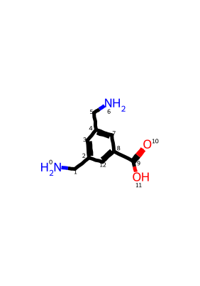 NCc1cc(CN)cc(C(=O)O)c1